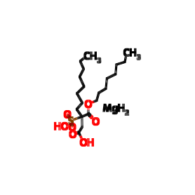 CCCCCCCCOC(=O)C(CCCCCCCC)(CC(=O)O)S(=O)(=O)O.[MgH2]